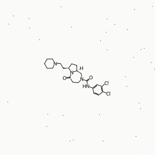 O=C(Nc1ccc(Cl)c(Cl)c1)N1CCC(=O)N2[C@@H](CCN3CCCCC3)CC[C@H]2C1